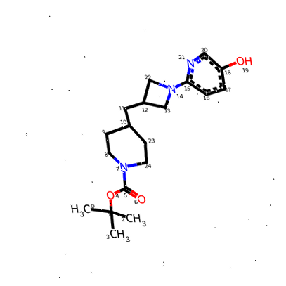 CC(C)(C)OC(=O)N1CCC(CC2CN(c3ccc(O)cn3)C2)CC1